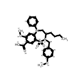 CCCCC1CN(c2ccccc2)c2cc(OC)c(C(=O)O)cc2S(=O)(=O)N1Cc1ccc(OC)cc1